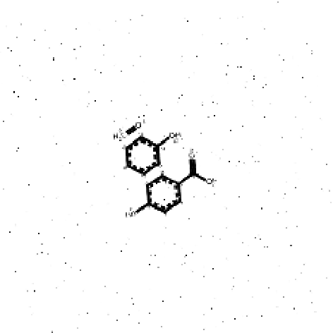 C=O.O=C(O)c1ccc(O)cc1.Oc1ccccc1